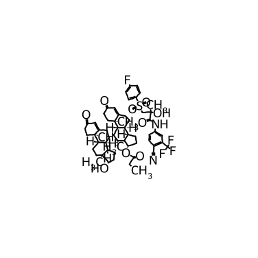 CC(O)(CS(=O)(=O)c1ccc(F)cc1)C(=O)Nc1ccc(C#N)c(C(F)(F)F)c1.CCC(=O)O[C@H]1CC[C@H]2[C@@H]3CCC4=CC(=O)CC[C@]4(C)[C@H]3CC[C@]12C.C[C@]12CC[C@H]3[C@@H](CCC4=CC(=O)CC[C@@]43C)[C@@H]1CC[C@@H]2O